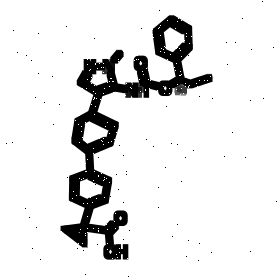 CC[C@@H](OC(=O)Nc1c(-c2ccc(-c3ccc(C4(C(=O)O)CC4)cc3)cc2)cnn1C)c1ccccc1